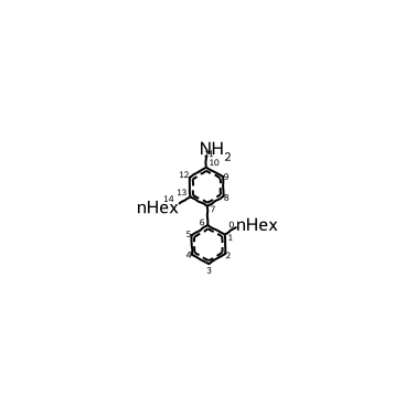 CCCCCCc1ccccc1-c1ccc(N)cc1CCCCCC